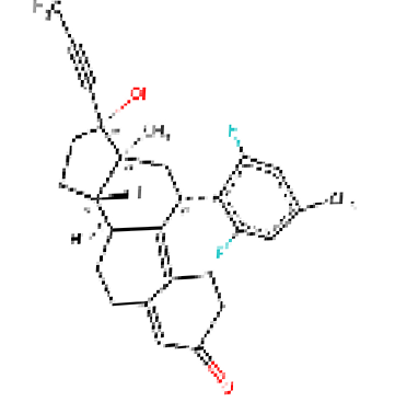 CC#C[C@]1(O)CC[C@H]2[C@@H]3CCC4=CC(=O)CCC4=C3[C@@H](c3c(F)cc(C)cc3F)C[C@@]21C